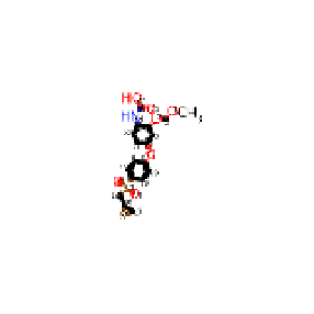 COCOc1cc(Oc2ccc(S(=O)(=O)CC3CS3)cc2)ccc1NC(=O)O